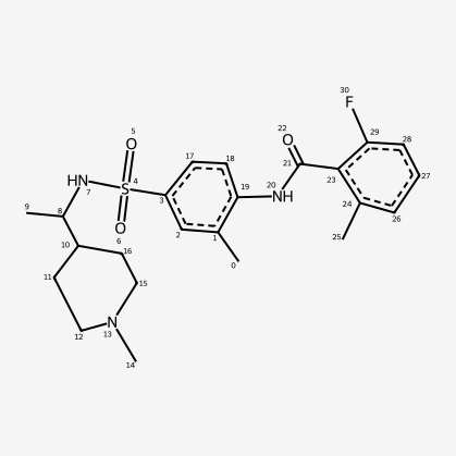 Cc1cc(S(=O)(=O)NC(C)C2CCN(C)CC2)ccc1NC(=O)c1c(C)cccc1F